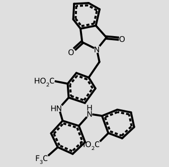 O=C(O)c1ccccc1Nc1ccc(C(F)(F)F)cc1Nc1ccc(CN2C(=O)c3ccccc3C2=O)cc1C(=O)O